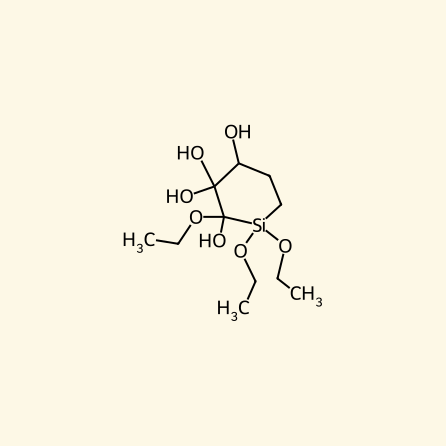 CCOC1(O)C(O)(O)C(O)CC[Si]1(OCC)OCC